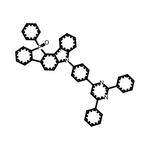 O=P1(c2ccccc2)c2ccccc2-c2ccc3c(c21)c1ccccc1n3-c1ccc(-c2cc(-c3ccccc3)nc(-c3ccccc3)n2)cc1